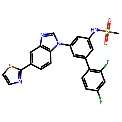 CS(=O)(=O)Nc1cc(-c2ccc(F)cc2F)cc(-n2cnc3cc(-c4nccs4)ccc32)c1